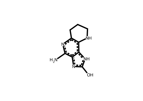 Nc1nc2c(c3[nH]c(O)nc13)NCCC2